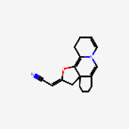 N#CC=C1CC23CCCCC2=CN2C=CCCC2=C3O1